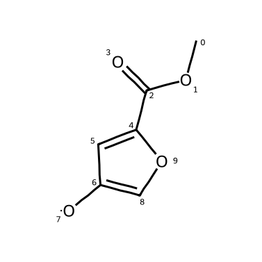 COC(=O)c1cc([O])co1